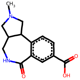 CN1CC2CNC(=O)c3cc(C(=O)O)ccc3C2C1